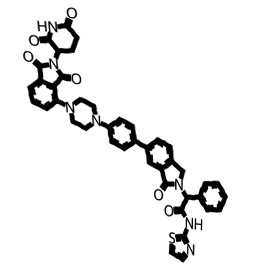 O=C1CCC(N2C(=O)c3cccc(N4CCN(c5ccc(-c6ccc7c(c6)C(=O)N(C(C(=O)Nc6nccs6)c6ccccc6)C7)cc5)CC4)c3C2=O)C(=O)N1